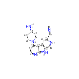 CNC1CCN(c2ccnc3[nH]c4cnc(C#N)cc4c23)CC1